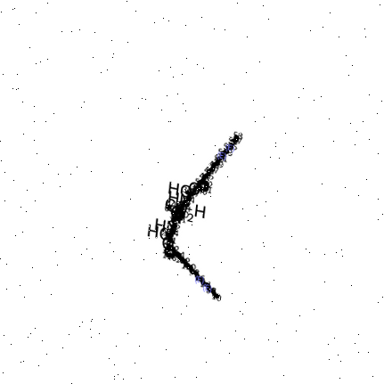 C=CC/C=C/C/C=C/CCCCCCCc1cccc(OCC(O)CNCCn2[c-][n+](CCNCC(O)COc3cccc(CCCCCCC/C=C/C/C=C/CC=C)c3)cc2)c1.CC(=O)O